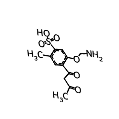 CC(=O)CC(=O)c1cc(C)c(S(=O)(=O)O)cc1OCN